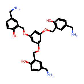 NCc1ccc(O)c(COc2cc(OCc3cc(CN)ccc3O)cc(OCc3cc(CN)ccc3O)c2)c1